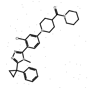 Cn1c(-c2ccc(N3CCC(C(=O)N4CCCCC4)CC3)cc2Cl)nnc1C1(c2ccccc2)CC1